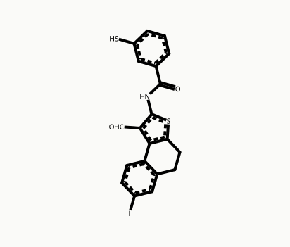 O=Cc1c(NC(=O)c2cccc(S)c2)sc2c1-c1ccc(I)cc1CC2